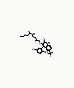 CCCCC(C)NCCC(=O)CSc1c(-c2cc(Cl)ccc2O)c2cc(C(F)(F)F)ccc2[nH]c1=O